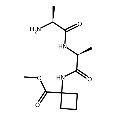 COC(=O)C1(NC(=O)[C@H](C)NC(=O)[C@H](C)N)CCC1